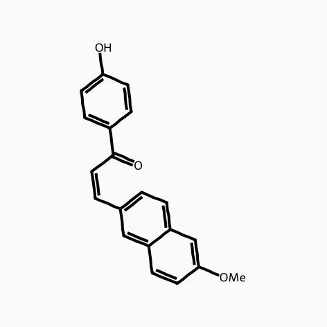 COc1ccc2cc(/C=C\C(=O)c3ccc(O)cc3)ccc2c1